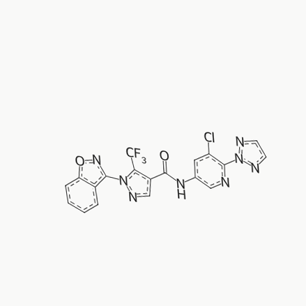 O=C(Nc1cnc(-n2nccn2)c(Cl)c1)c1cnn(-c2noc3ccccc23)c1C(F)(F)F